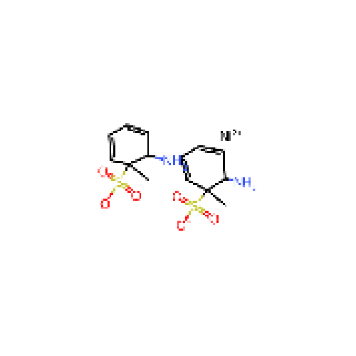 CC1(S(=O)(=O)[O-])C=CC=CC1N.CC1(S(=O)(=O)[O-])C=CC=CC1N.[Ni+2]